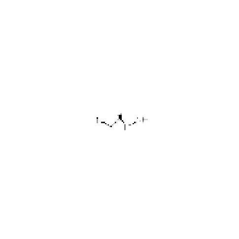 NCC(=O)[N]N